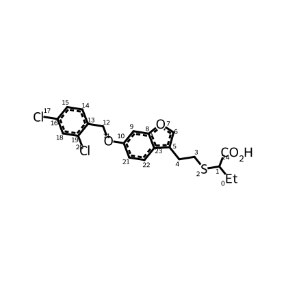 CCC(SCCc1coc2cc(OCc3ccc(Cl)cc3Cl)ccc12)C(=O)O